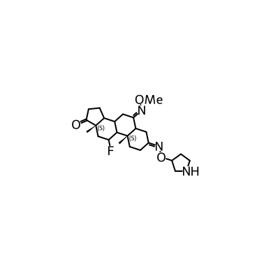 CON=C1CC2C(C(F)C[C@]3(C)C(=O)CCC23)[C@@]2(C)CCC(=NOC3CCNC3)CC12